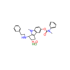 CN(C(=O)Oc1ccc2c(c1)c1c(n2C)C(NCCc2ccccc2)CC1)c1ccccc1.Cl.O